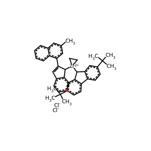 Cc1cc(C2=Cc3ccccc3[CH]2[Zr+2]2([CH]3c4cc(C(C)(C)C)ccc4-c4ccc(C(C)(C)C)cc43)[CH2][CH2]2)c2ccccc2c1.[Cl-].[Cl-]